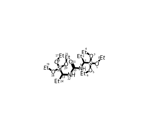 CCO[Si](OCC)(OCC)C(CC)NC(=O)NC(CC)[Si](OCC)(OCC)OCC